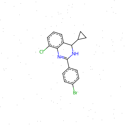 Clc1cccc2c1N=C(c1ccc(Br)cc1)NC2C1CC1